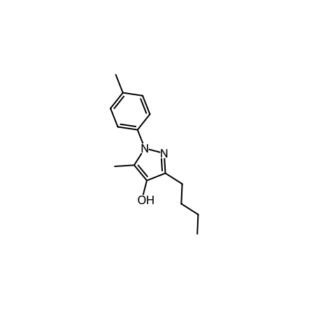 CCCCc1nn(-c2ccc(C)cc2)c(C)c1O